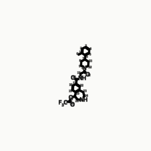 Cc1ccccc1C1CCN(C(=O)CNC(=O)c2ccc3c(c2)CCNCC3OC(=O)C(F)(F)F)CC1